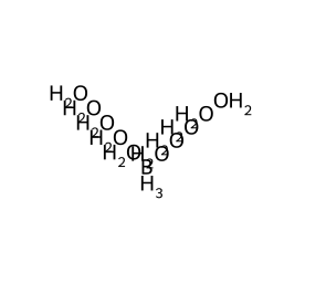 B.O.O.O.O.O.O.O.O.O.O